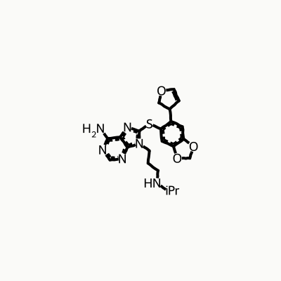 CC(C)NCCCn1c(Sc2cc3c(cc2C2C=COC2)OCO3)nc2c(N)ncnc21